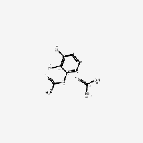 CCc1cccc(OC(N)=S)c1CC.NC(O)=S